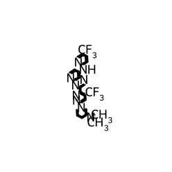 CN(C)C1CCCN(c2cc(C(F)(F)F)c(-c3cnc4c(Nc5ccc(C(F)(F)F)cn5)ccnc4n3)nn2)C1